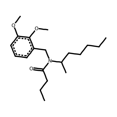 CCCCCC(C)N(Cc1cccc(OC)c1OC)C(=O)CCC